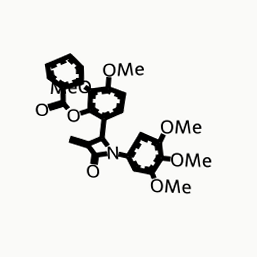 C=C1C(=O)N(c2cc(OC)c(OC)c(OC)c2)C1c1ccc(OC)c(OC)c1OC(=O)c1ccccc1